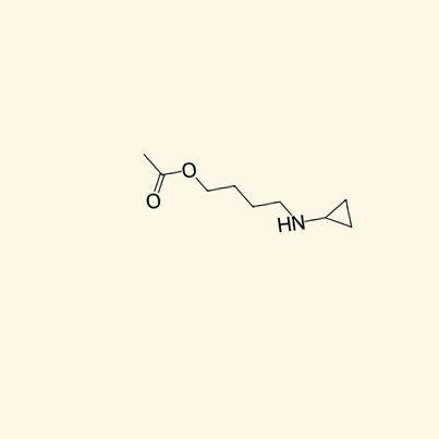 CC(=O)OCCCCNC1CC1